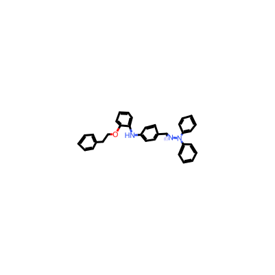 C(=N\N(c1ccccc1)c1ccccc1)/c1ccc(Nc2ccccc2OCCc2ccccc2)cc1